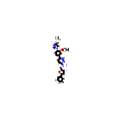 COc1cc(-c2ccc(NCc3ccc(-c4ccccc4)o3)nn2)ccc1-n1cnc(C)c1